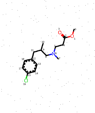 COC(=O)CCN(C)CC(C)Cc1ccc(Cl)cc1